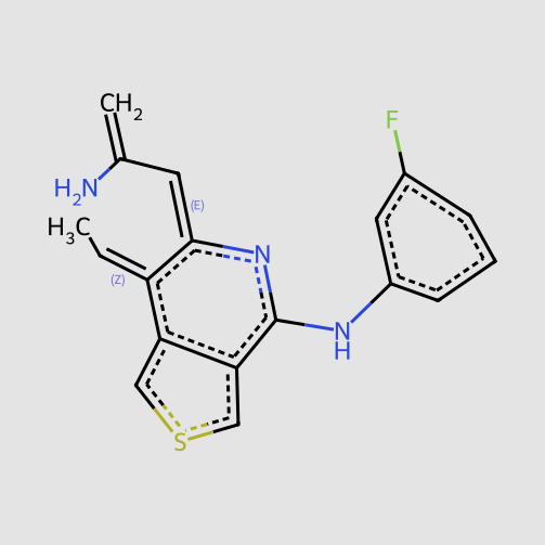 C=C(N)/C=c1/nc(Nc2cccc(F)c2)c2cscc2/c1=C/C